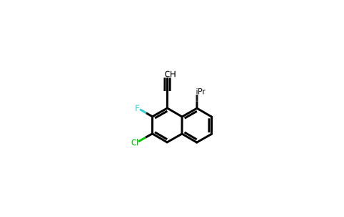 C#Cc1c(F)c(Cl)cc2cccc(C(C)C)c12